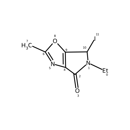 CCN1C(=O)c2nc(C)oc2C1I